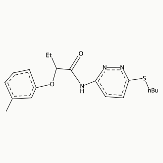 CCCCSc1ccc(NC(=O)C(CC)Oc2cccc(C)c2)nn1